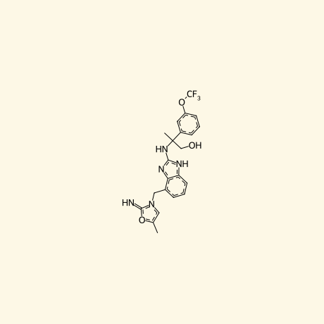 Cc1cn(Cc2cccc3[nH]c(NC(C)(CO)c4cccc(OC(F)(F)F)c4)nc23)c(=N)o1